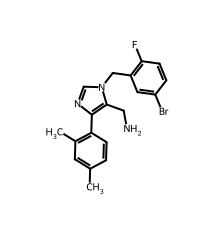 Cc1ccc(-c2ncn(Cc3cc(Br)ccc3F)c2CN)c(C)c1